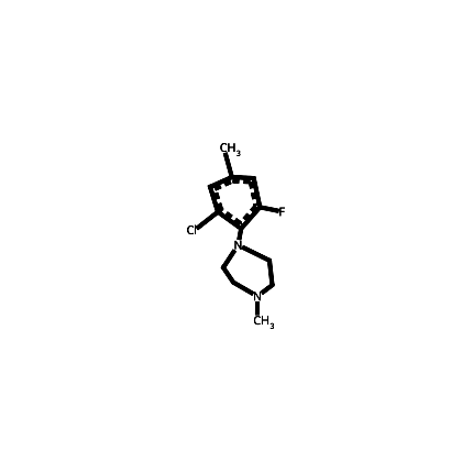 Cc1cc(F)c(N2CCN(C)CC2)c(Cl)c1